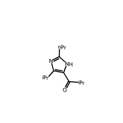 CCCc1nc(C(C)C)c(C(=O)C(C)C)[nH]1